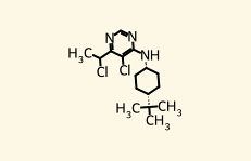 CC(Cl)c1ncnc(N[C@H]2CC[C@@H](C(C)(C)C)CC2)c1Cl